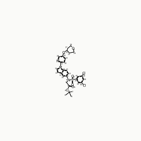 CC(C)(C)OC(=O)CN(c1ccc2c(ccn2-c2ccc(OC3CCOCC3)cn2)c1)S(=O)(=O)c1cc(Cl)cc(Cl)c1